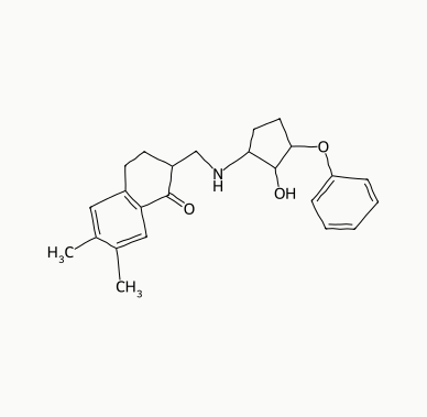 Cc1cc2c(cc1C)C(=O)C(CNC1CCC(Oc3ccccc3)C1O)CC2